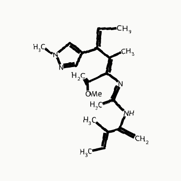 C=C(N/C(C)=N/C(C(=C)OC)=C(C)/C(=C\C)c1cnn(C)c1)/C(C)=C/C